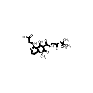 Cn1c(=O)c(C(=O)NCC(=O)OC(C)(C)C)c(O)c2c(NCC(=O)O)nccc21